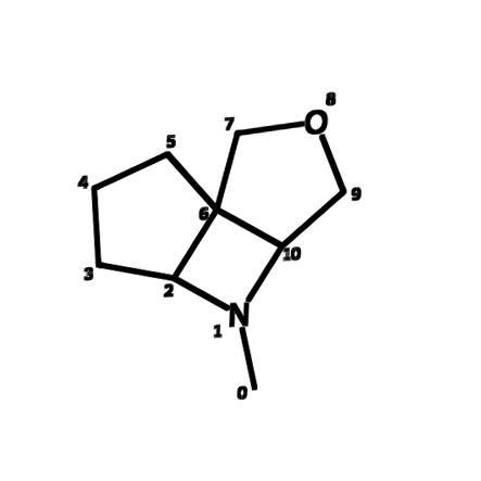 CN1C2CCCC23COCC13